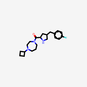 O=C(C1CC(Cc2ccc(F)cc2)CN1)N1CCCN(C2CCC2)CC1